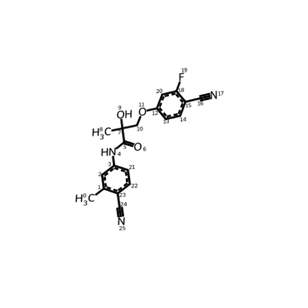 Cc1cc(NC(=O)C(C)(O)COc2ccc(C#N)c(F)c2)ccc1C#N